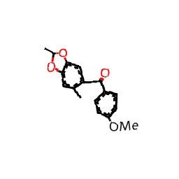 COc1ccc(C(=O)c2cc3c(cc2C)OC(C)O3)cc1